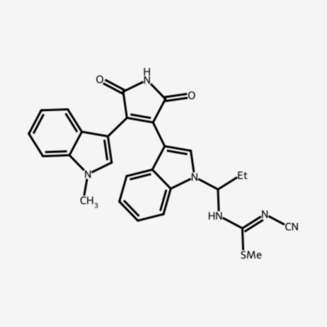 CCC(NC(=NC#N)SC)n1cc(C2=C(c3cn(C)c4ccccc34)C(=O)NC2=O)c2ccccc21